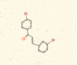 O=C(/C=C/c1cccc(Br)c1)c1ccc(Br)cc1